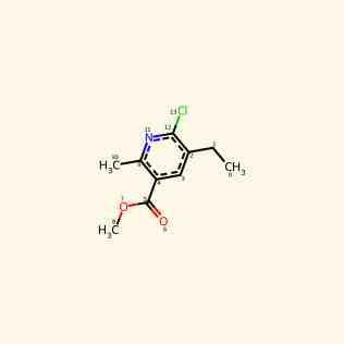 CCc1cc(C(=O)OC)c(C)nc1Cl